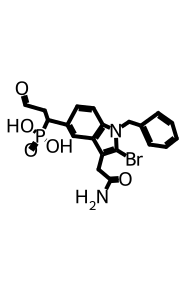 NC(=O)Cc1c(Br)n(Cc2ccccc2)c2ccc(C(CC=O)P(=O)(O)O)cc12